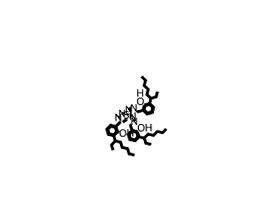 CCCCCC(CC)c1cccc(C/N=N\[Si](CC)(/N=N\Cc2cccc(C(CC)CCCCC)c2O)/N=N\Cc2cccc(C(CC)CCCCC)c2O)c1O